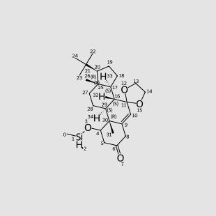 C[SiH](C)OC1CC(=O)CC2=CC3(OCCO3)[C@H]3[C@@H]4CC[C@H](C(C)(C)C)[C@@]4(C)CC[C@@H]3[C@]21C